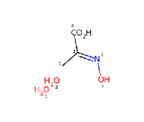 CC(=NO)C(=O)O.O.O